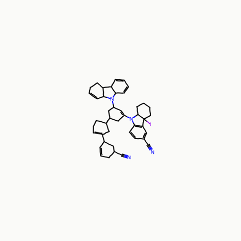 N#Cc1ccc2c(c1)C1(I)CCCCC1N2C1=CC(N2C3C=CC=CC3C3CCC=CC32)CC(C2CCC=C(C3C=CCC(C#N)C3)C2)C1